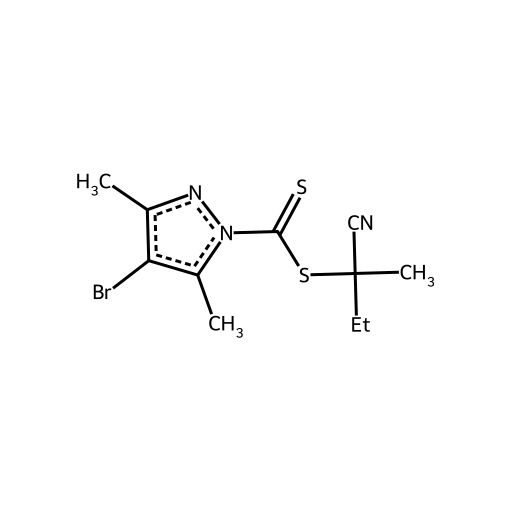 CCC(C)(C#N)SC(=S)n1nc(C)c(Br)c1C